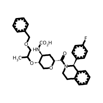 CC(COCc1ccccc1)O[C@H]1CO[C@@H](C(=O)N2CCc3ccccc3[C@@H]2c2ccc(F)cc2)C[C@@H]1NC(=O)O